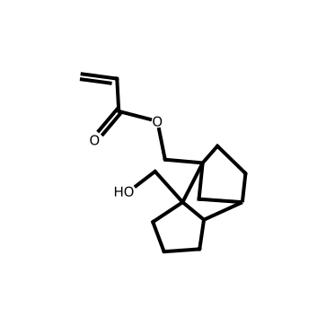 C=CC(=O)OCC12CCC(C1)C1CCCC12CO